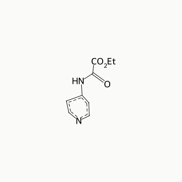 CCOC(=O)C(=O)Nc1ccncc1